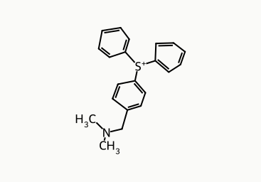 CN(C)Cc1ccc([S+](c2ccccc2)c2ccccc2)cc1